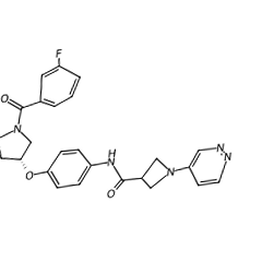 O=C(Nc1ccc(O[C@@H]2CCN(C(=O)c3cccc(F)c3)C2)cc1)C1CN(c2ccnnc2)C1